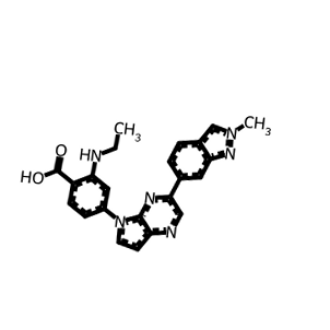 CCNc1cc(-n2ccc3ncc(-c4ccc5cn(C)nc5c4)nc32)ccc1C(=O)O